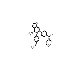 COc1ccc(N2C(N)=c3ccoc3=NC2c2ccc(C(=O)N3CCOCC3)cc2)cc1